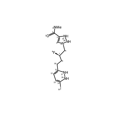 CNC(=O)C1=CN(C[C@H](F)CCC2=CC=C(I)NN2)NN1